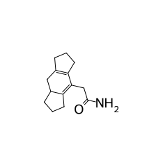 NC(=O)CC1=C2CCCC2CC2=C1CCC2